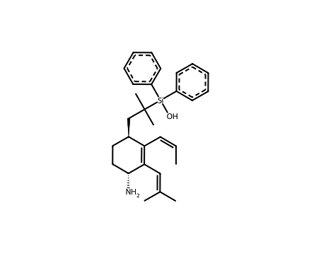 C/C=C\C1=C(C=C(C)C)[C@H](N)CC[C@H]1CC(C)(C)[Si](O)(c1ccccc1)c1ccccc1